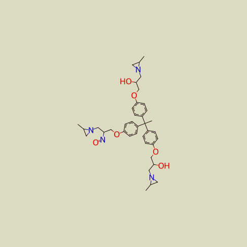 CC1CN1CC(O)COc1ccc(C(C)(c2ccc(OCC(O)CN3CC3C)cc2)c2ccc(OCC(CN3CC3C)N=O)cc2)cc1